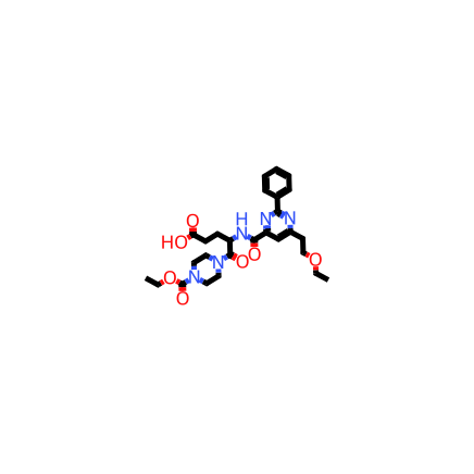 CCOCCc1cc(C(=O)NC(CCC(=O)O)C(=O)N2CCN(C(=O)OCC)CC2)nc(-c2ccccc2)n1